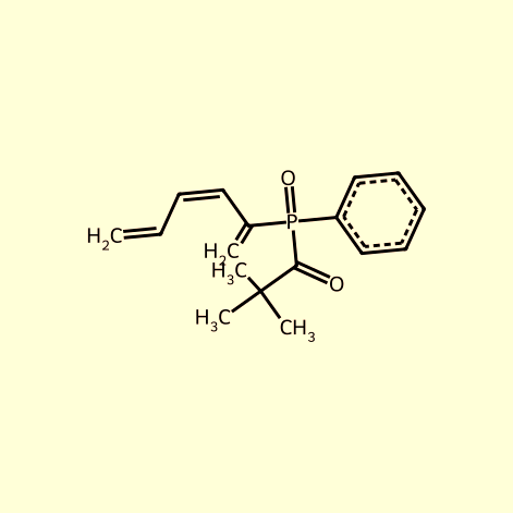 C=C/C=C\C(=C)P(=O)(C(=O)C(C)(C)C)c1ccccc1